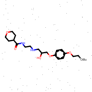 CC(C)COCCOc1ccc(OCC(O)CNCCNC(=O)C2CCOCC2)cc1